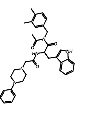 CC(=O)N(Cc1ccc(C)c(C)c1)C(=O)C(Cc1c[nH]c2ccccc12)NC(=O)CN1CCN(c2ccccc2)CC1